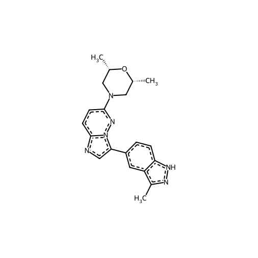 Cc1n[nH]c2ccc(-c3cnc4ccc(N5C[C@@H](C)O[C@@H](C)C5)nn34)cc12